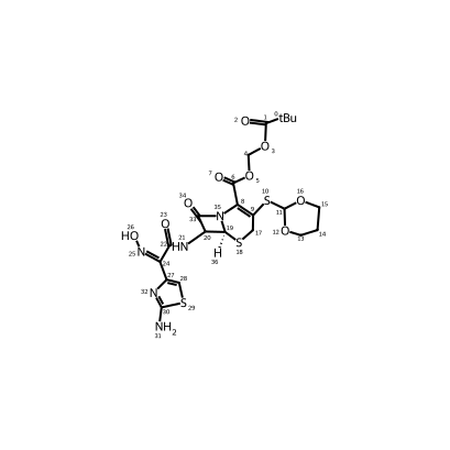 CC(C)(C)C(=O)OCOC(=O)C1=C(SC2OCCCO2)CS[C@H]2C(NC(=O)/C(=N\O)c3csc(N)n3)C(=O)N12